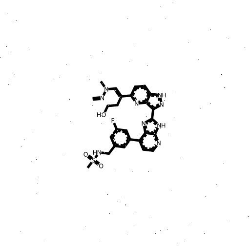 C=NN(C)/C=C(\CCO)c1ccc2[nH]nc(-c3nc4c(-c5cc(F)cc(CNS(C)(=O)=O)c5)ccnc4[nH]3)c2n1